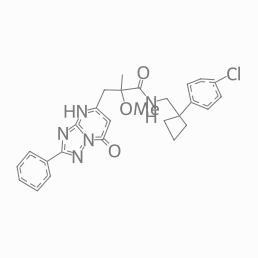 COC(C)(Cc1cc(=O)n2nc(-c3ccccc3)nc2[nH]1)C(=O)NCC1(c2ccc(Cl)cc2)CCC1